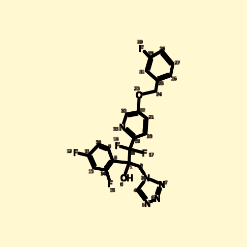 OC(Cn1cnnn1)(c1ccc(F)cc1F)C(F)(F)c1ccc(OCc2cccc(F)c2)cn1